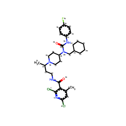 Cc1cc(Cl)nc(Cl)c1C(=O)NCCC(C)N1CCC(N(CC2CCCCC2)C(=O)Nc2ccc(F)cc2)CC1